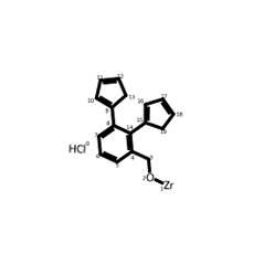 Cl.[Zr][O]Cc1cccc(C2=CC=CC2)c1C1=CC=CC1